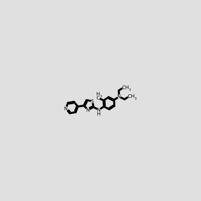 CCN(CC)c1ccc(Nc2nc(-c3ccncc3)cs2)c(C)c1